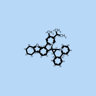 Cc1cc2[n+](cc1C(C)C)C1(c3ccc4c5c(oc4c3-2)CCCC5)C2c3ccccc3-c3cccc[n+]3C21